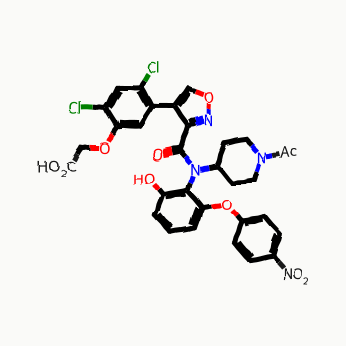 CC(=O)N1CCC(N(C(=O)c2nocc2-c2cc(OCC(=O)O)c(Cl)cc2Cl)c2c(O)cccc2Oc2ccc([N+](=O)[O-])cc2)CC1